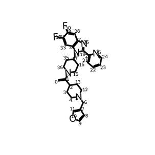 C=C(C1CCN(Cc2ccoc2)CC1)N1CCC(n2c(-c3ccccn3)nc3cc(F)c(F)cc32)CC1